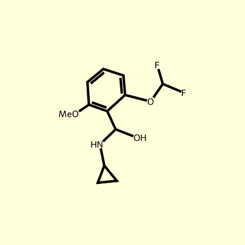 COc1cccc(OC(F)F)c1C(O)NC1CC1